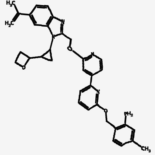 C=C(C)c1ccc2nc(COc3cc(-c4cccc(OCc5ccc(C)cc5P)n4)ccn3)n(C3CC3C3CCO3)c2c1